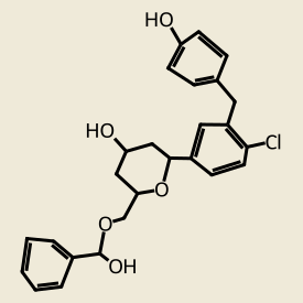 Oc1ccc(Cc2cc(C3CC(O)CC(COC(O)c4ccccc4)O3)ccc2Cl)cc1